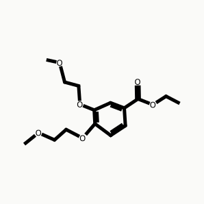 CCOC(=O)c1ccc(OCCOC)c(OCCOC)c1